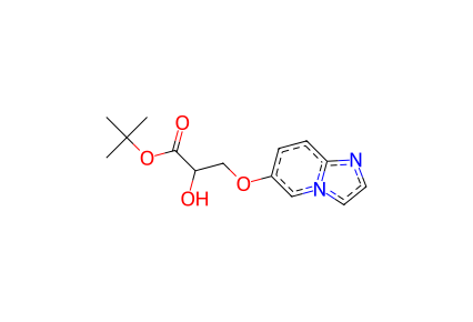 CC(C)(C)OC(=O)C(O)COc1ccc2nccn2c1